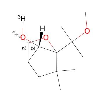 [3H]O[C@H]1C2CC(C)(C)C1(C(C)(C)OC)O[C@H]2C